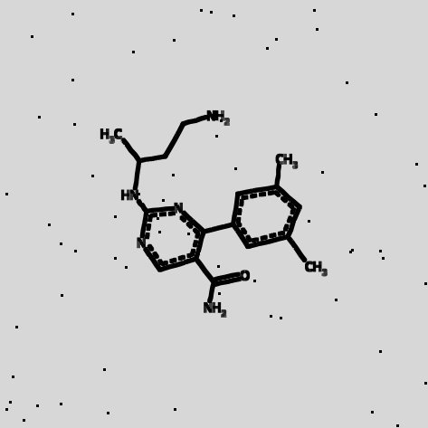 Cc1cc(C)cc(-c2nc(NC(C)CCN)ncc2C(N)=O)c1